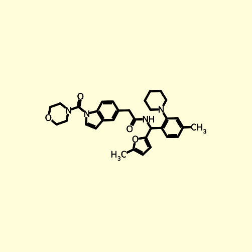 Cc1ccc(C(NC(=O)Cc2ccc3c(ccn3C(=O)N3CCOCC3)c2)c2ccc(C)o2)c(N2CCCCC2)c1